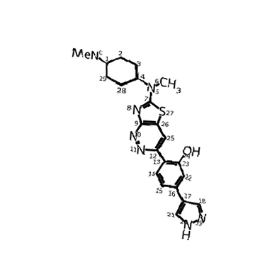 CN[C@H]1CC[C@@H](N(C)c2nc3nnc(-c4ccc(-c5cn[nH]c5)cc4O)cc3s2)CC1